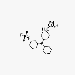 C1CCC(P(C2CCCCC2)C2CCCCC2)CC1.CC(=O)O.F[B-](F)(F)F.[Pd]